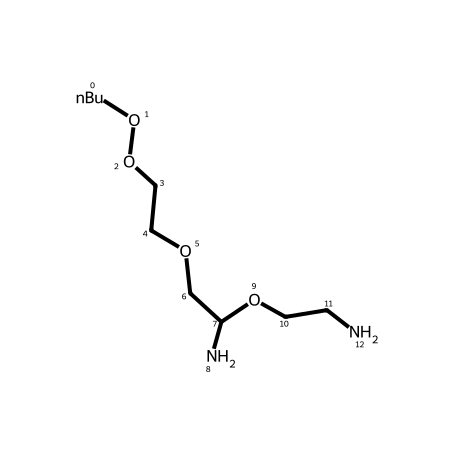 CCCCOOCCOCC(N)OCCN